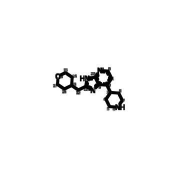 c1cc(C2CCNCC2)c2nc(CC3CCOCC3)[nH]c2n1